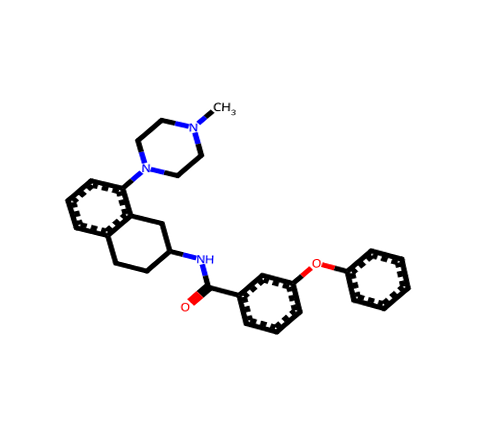 CN1CCN(c2cccc3c2CC(NC(=O)c2cccc(Oc4ccccc4)c2)CC3)CC1